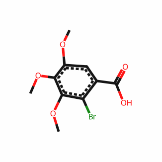 COc1cc(C(=O)O)c(Br)c(OC)c1OC